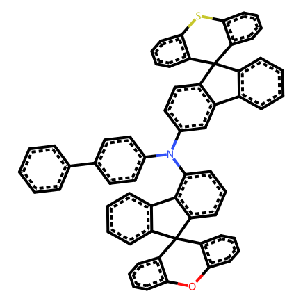 c1ccc(-c2ccc(N(c3ccc4c(c3)-c3ccccc3C43c4ccccc4Sc4ccccc43)c3cccc4c3-c3ccccc3C43c4ccccc4Oc4ccccc43)cc2)cc1